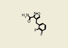 NC(=O)c1nocc1Cc1cccc(F)c1F